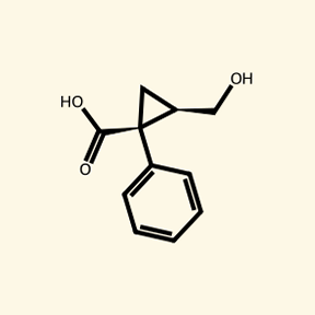 O=C(O)[C@@]1(c2ccccc2)C[C@H]1CO